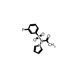 CC(=O)N(n1cccc1)S(=O)(=O)c1cccc(F)c1